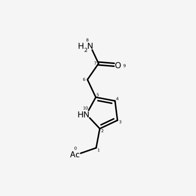 CC(=O)Cc1ccc(CC(N)=O)[nH]1